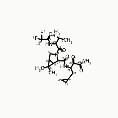 CC(C)C(NC(=O)C(F)(F)F)C(=O)N1CC2C(C1C(=O)NC(CC1CC1)C(=O)C(N)=O)C2(C)C